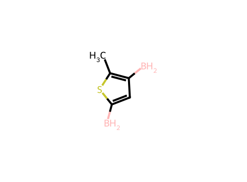 Bc1cc(B)c(C)s1